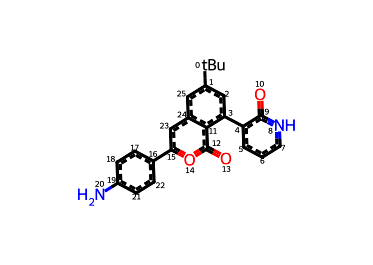 CC(C)(C)c1cc(-c2ccc[nH]c2=O)c2c(=O)oc(-c3ccc(N)cc3)cc2c1